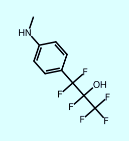 CNc1ccc(C(F)(F)C(O)(F)C(F)(F)F)cc1